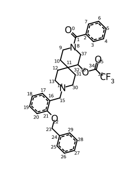 O=C(c1ccccc1)N1CCC2(CCN(Cc3ccccc3OCc3ccccc3)CC2)C(OC(=O)C(F)(F)F)C1